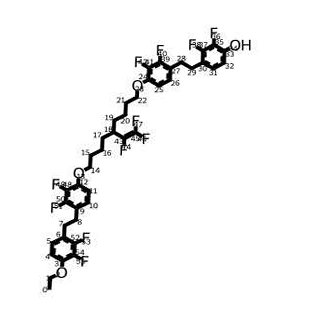 CCOc1ccc(CCc2ccc(OCCCCC(CCCCOc3ccc(CCc4ccc(O)c(F)c4F)c(F)c3F)C(F)=C(F)F)c(F)c2F)c(F)c1F